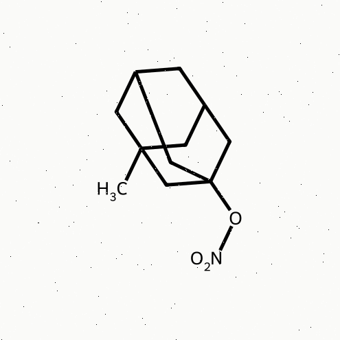 CC12CC3CC(C1)CC(O[N+](=O)[O-])(C3)C2